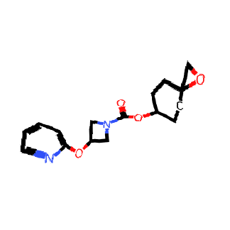 O=C(OC1CCC2(CC1)CO2)N1CC(Oc2ccccn2)C1